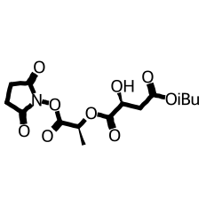 CC(C)COC(=O)C[C@H](O)C(=O)O[C@@H](C)C(=O)ON1C(=O)CCC1=O